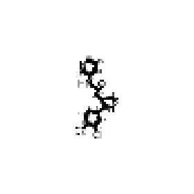 O=C(CC1CON=C1c1ccc(Cl)c(Cl)c1)Nc1cccnc1